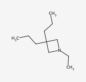 CCCC1(CCC)CN(CC)C1